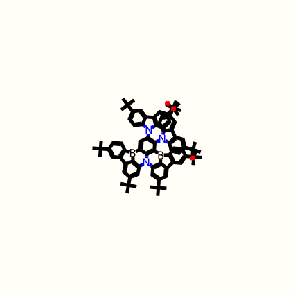 CC(C)(C)c1ccc2c(c1)-c1cc(C(C)(C)C)cc3c1B2c1cc(-n2c4ccc(C(C)(C)C)cc4c4cc(C(C)(C)C)ccc42)c(-n2c4ccc(C(C)(C)C)cc4c4cc(C(C)(C)C)ccc42)c2c1N3c1cc(C(C)(C)C)cc3c1B2c1ccc(C(C)(C)C)cc1-3